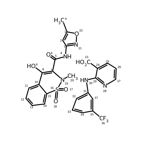 Cc1cc(NC(=O)C2=C(O)c3ccccc3S(=O)(=O)N2C)no1.O=C(O)c1cccnc1Nc1cccc(C(F)(F)F)c1